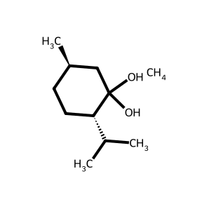 C.CC(C)[C@@H]1CC[C@@H](C)CC1(O)O